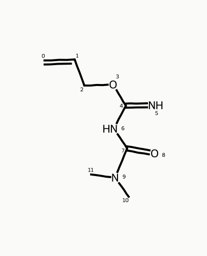 C=CCOC(=N)NC(=O)N(C)C